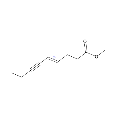 CCC#C/C=C/CCC(=O)OC